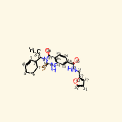 CC(C1C=CCCC1)n1c(=S)[nH]c2cc(C(=O)NCc3ccco3)ccc2c1=O